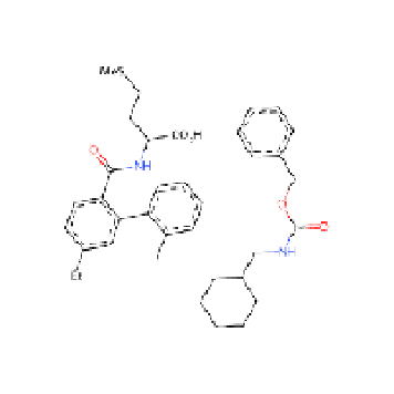 CCc1ccc(C(=O)NC(CCSC)C(=O)O)c(-c2ccccc2C)c1.O=C(NCC1CCCCC1)OCc1ccccc1